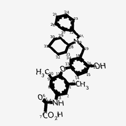 Cc1cc(NC(=O)C(=O)O)cc(C)c1Oc1ccc(O)c(CN(Cc2ccccc2)C2CCCCC2)c1